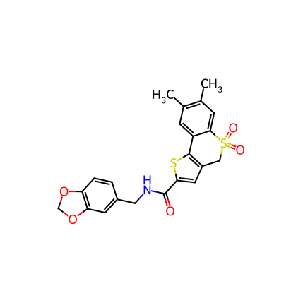 Cc1cc2c(cc1C)S(=O)(=O)Cc1cc(C(=O)NCc3ccc4c(c3)OCO4)sc1-2